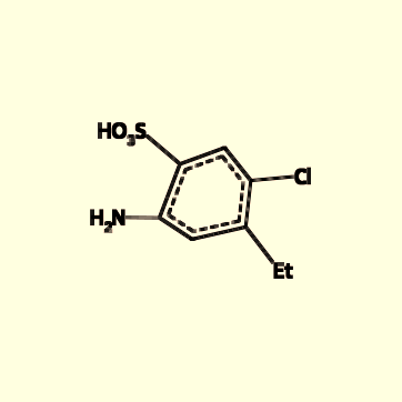 CCc1cc(N)c(S(=O)(=O)O)cc1Cl